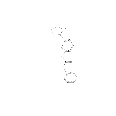 O=C(Nc1ccccc1)Nc1cccc(C2=NCCN2Cl)c1